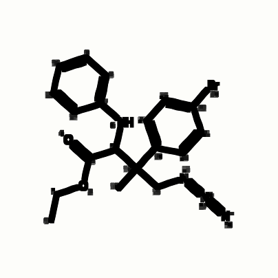 CCOC(=O)C(Nc1ccccc1)C(C)(CN=[N+]=[N-])c1ccc(Br)cc1